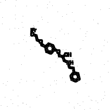 CC(C)OCCOCc1ccc(OCC(O)CNCCc2ccccc2)cc1